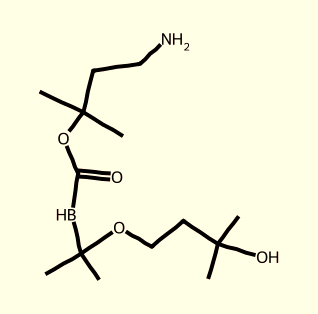 CC(C)(O)CCOC(C)(C)BC(=O)OC(C)(C)CCN